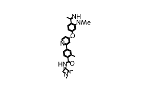 CNc1cc(Oc2ccnc(-c3ccc(C(=O)N[C@H]4CN(C)[C@@H]4C)c(C)c3)c2)ccc1C(C)=N